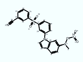 CN(O[SH](=O)=O)c1ccc2ccn(-c3cccc(S(=O)(=O)c4cccc(C#N)c4)c3)c2c1